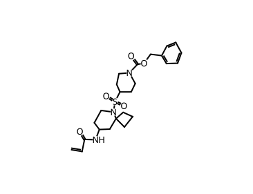 C=CC(=O)NC1CCN(S(=O)(=O)C2CCN(C(=O)OCc3ccccc3)CC2)C2(CCC2)C1